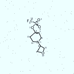 O=S(=O)(OC1=CCN(C2COC2)CC1)C(F)(F)F